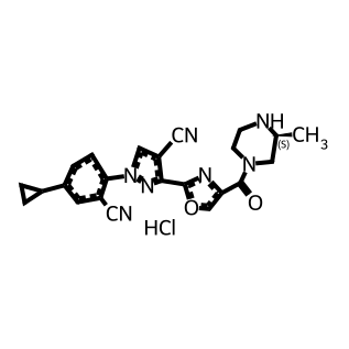 C[C@H]1CN(C(=O)c2coc(-c3nn(-c4ccc(C5CC5)cc4C#N)cc3C#N)n2)CCN1.Cl